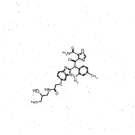 Cc1ccc(N(C(=O)c2nc[nH]c2C(N)=O)c2nc3ccc(OCC(=O)NCC(O)CO)cc3[nH]2)c(C)c1